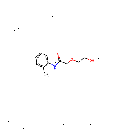 Cc1ccccc1NC(=O)COCCO